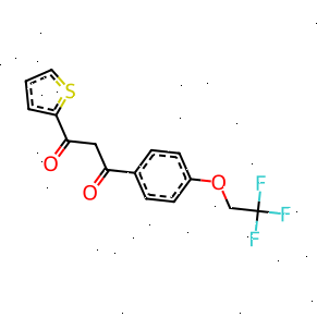 O=C(CC(=O)c1cccs1)c1ccc(OCC(F)(F)F)cc1